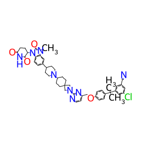 Cn1c(=O)n(C2CCC(=O)NC2=O)c2ccc(C3CCN(C4CCC5(CC4)CN(c4nccc(COc6ccc(C(C)(C)c7cc(Cl)cc(C#N)c7)cc6)n4)C5)CC3)cc21